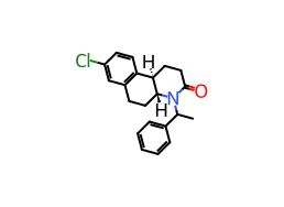 CC(c1ccccc1)N1C(=O)CC[C@@H]2c3ccc(Cl)cc3CC[C@H]21